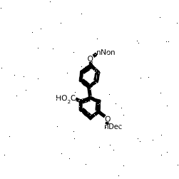 CCCCCCCCCCOc1ccc(C(=O)O)c(-c2ccc(OCCCCCCCCC)cc2)c1